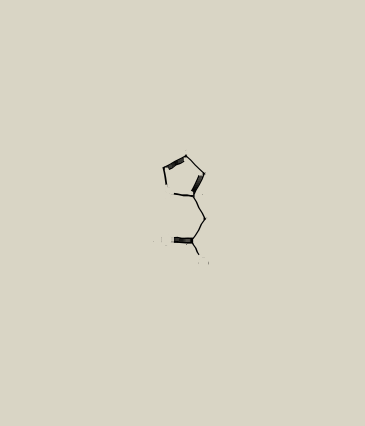 [O]C(=O)Cc1cccs1